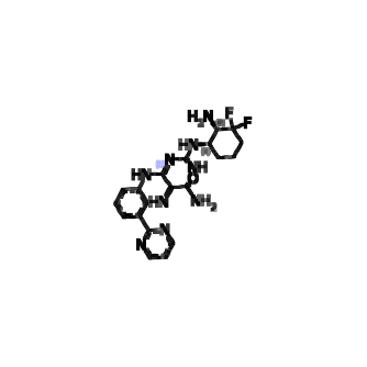 N=C(/N=C(/Nc1cccc(-c2ncccn2)c1)C(=N)C(N)=O)N[C@@H]1CCCC(F)(F)[C@@H]1N